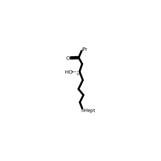 CCCCCCCCCCC[C@H](O)CC(=O)C(C)C